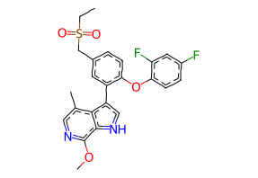 CCS(=O)(=O)Cc1ccc(Oc2ccc(F)cc2F)c(-c2c[nH]c3c(OC)ncc(C)c23)c1